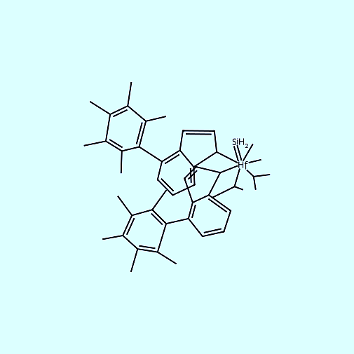 Cc1c(C)c(C)c(-c2cccc3c2C=C[CH]3[Hf]([CH3])([CH3])(=[SiH2])([CH](C)C)([CH](C)C)[CH]2C=Cc3c(-c4c(C)c(C)c(C)c(C)c4C)cccc32)c(C)c1C